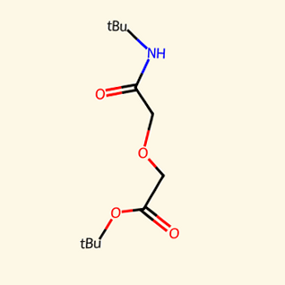 CC(C)(C)NC(=O)COCC(=O)OC(C)(C)C